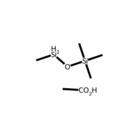 CC(=O)O.C[SiH2]O[Si](C)(C)C